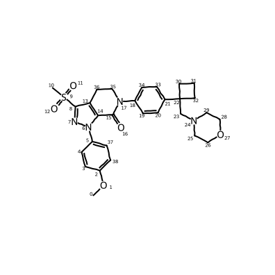 COc1ccc(-n2nc(S(C)(=O)=O)c3c2C(=O)N(c2ccc(C4(CN5CCOCC5)CCC4)cc2)CC3)cc1